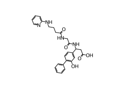 O=C(O)CC(NC(=O)CNC(=O)CCCNc1ccccn1)c1ccc(-c2ccccc2)c(O)c1